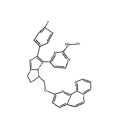 CCNc1nccc(-c2c(-c3ccc(F)cc3)nc3n2C(COc2ccc4ccc5cccnc5c4n2)CC3)n1